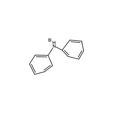 [B].c1ccc(Nc2ccccc2)cc1